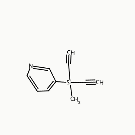 C#C[Si](C)(C#C)c1cccnc1